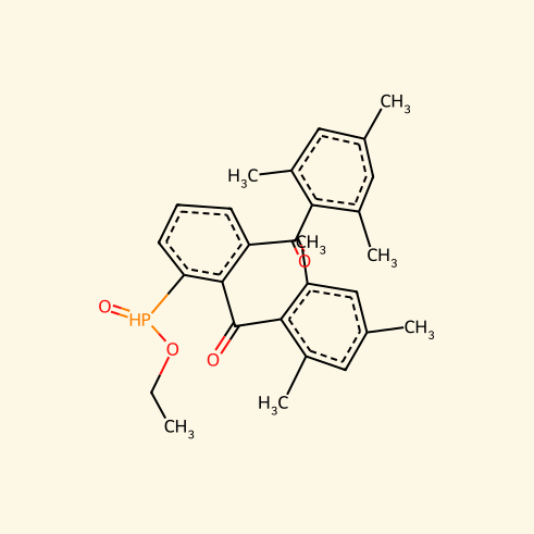 CCO[PH](=O)c1cccc(C(=O)c2c(C)cc(C)cc2C)c1C(=O)c1c(C)cc(C)cc1C